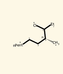 CCCCCCC[C@@H](C)C(Cl)CC